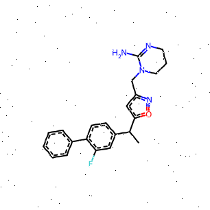 CC(c1ccc(-c2ccccc2)c(F)c1)c1cc(CN2CCCN=C2N)no1